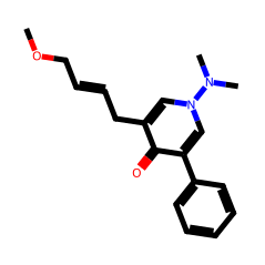 COCC=CCc1cn(N(C)C)cc(-c2ccccc2)c1=O